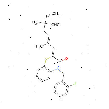 C=CC(C)(C=O)C/C=C(C)/C=C1\Sc2ccccc2N(Cc2ccccc2F)C1=O